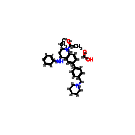 CC[C@@H]1C[C@H](Nc2ccccc2)c2cc(-c3ccc(CN4CCCCC4)cc3)ccc2N1C(C)=O.O=CO